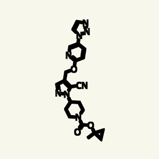 CC1(OC(=O)N2CCC(n3ncc(COc4ccc(-n5ccnn5)cn4)c3C#N)CC2)CC1